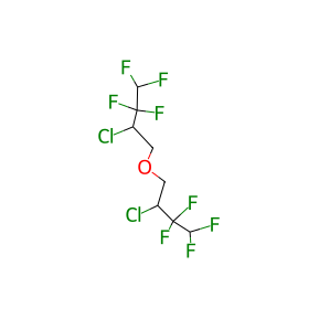 FC(F)C(F)(F)C(Cl)COCC(Cl)C(F)(F)C(F)F